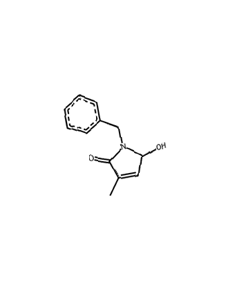 CC1=CC(O)N(Cc2ccccc2)C1=O